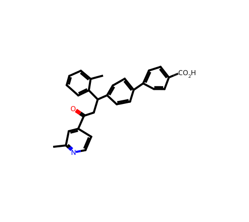 Cc1cc(C(=O)CC(c2ccc(-c3ccc(C(=O)O)cc3)cc2)c2ccccc2C)ccn1